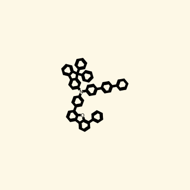 C1=CC(c2ccc(-c3ccc(N(c4ccc(-c5cccc6c5oc5c(-c7ccccc7)cccc56)cc4)c4ccc5c(c4)C(c4ccccc4)(c4ccccc4)c4ccccc4-5)cc3)cc2)=CCC1